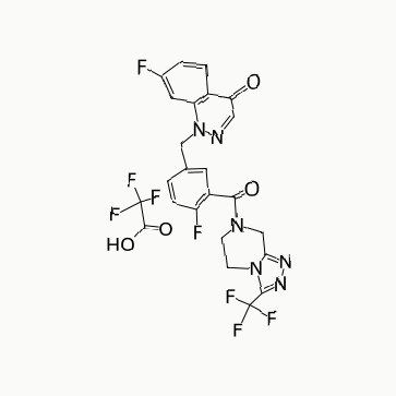 O=C(O)C(F)(F)F.O=C(c1cc(Cn2ncc(=O)c3ccc(F)cc32)ccc1F)N1CCn2c(nnc2C(F)(F)F)C1